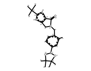 Cc1cc(B2OC(C)(C)C(C)(C)O2)ccc1CN1Cc2nc(C(C)(C)C)sc2C1=O